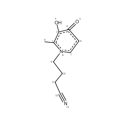 Cc1c(O)c(=O)ccn1CCCC#N